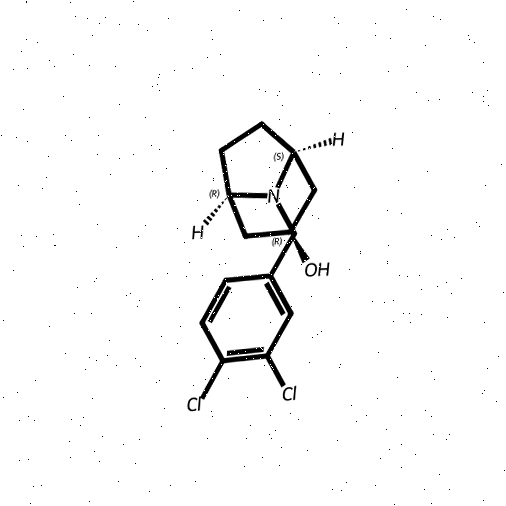 O[C@H]1C[C@H]2CC[C@@H](C1)N2Cc1ccc(Cl)c(Cl)c1